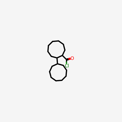 O=C(Cl)C1CCCCCCCC1C1CCCCCCCC1